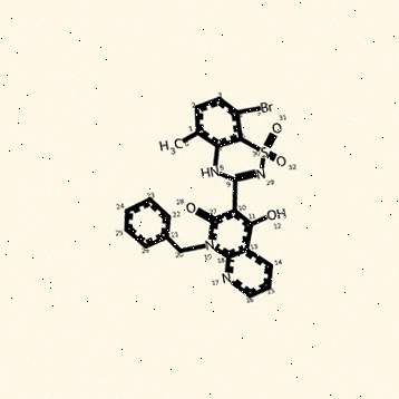 Cc1ccc(Br)c2c1NC(c1c(O)c3cccnc3n(Cc3ccccc3)c1=O)=NS2(=O)=O